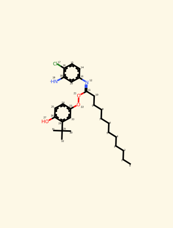 CCCCCCCCCCCC(=Nc1ccc(Cl)c([NH])c1)OOc1ccc(O)c(C(C)(C)C)c1